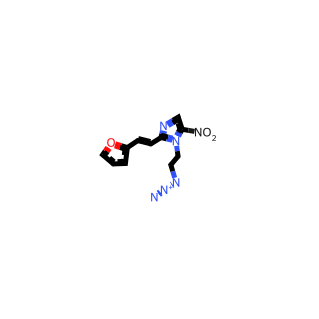 [N-]=[N+]=NCCn1c([N+](=O)[O-])cnc1C=Cc1ccco1